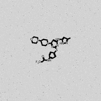 Cc1cc(Nc2cc(N3CCC(N4CCOCC4)CC3)nc(Sc3ccc(NC(=O)CC(F)(F)F)cc3)n2)[nH]n1